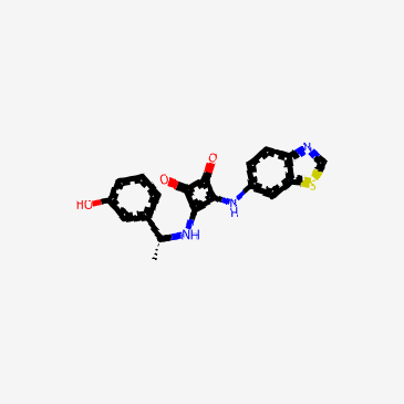 C[C@@H](Nc1c(Nc2ccc3ncsc3c2)c(=O)c1=O)c1cccc(O)c1